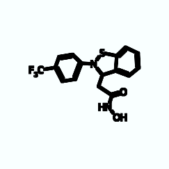 O=C(CC1c2ccccc2SN1c1ccc(C(F)(F)F)cc1)NO